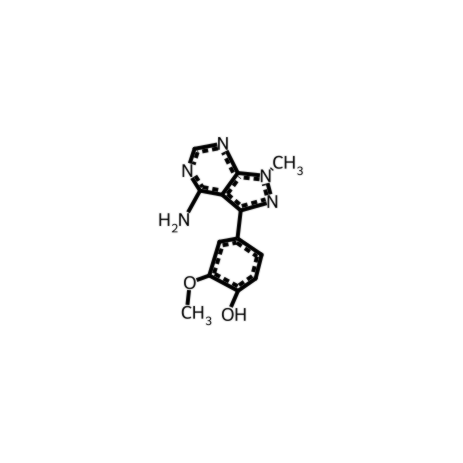 COc1cc(-c2nn(C)c3ncnc(N)c23)ccc1O